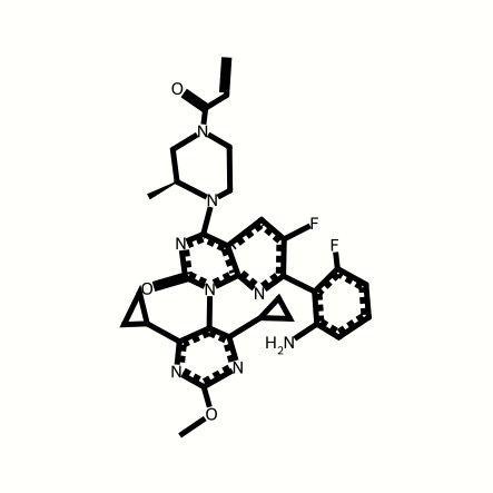 C=CC(=O)N1CCN(c2nc(=O)n(-c3c(C4CC4)nc(OC)nc3C3CC3)c3nc(-c4c(N)cccc4F)c(F)cc23)[C@@H](C)C1